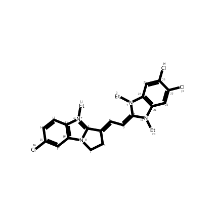 CCN1C(=CC=C2CCn3c2[n+](CC)c2ccc(Cl)cc23)N(CC)c2cc(Cl)c(Cl)cc21